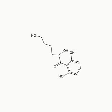 O=C(c1c(O)cccc1O)C(O)CCCCO